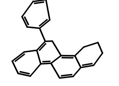 [c]1ccc(C2=c3ccccc3=c3ccc4c(c3C2)CCCC=4)cc1